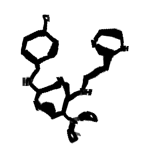 O=[N+]([O-])c1cnc(Nc2ccc(Cl)cc2)nc1NCCc1ncc[nH]1